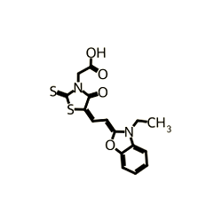 CCN1/C(=C/C=C2/SC(=S)N(CC(=O)O)C2=O)Oc2ccccc21